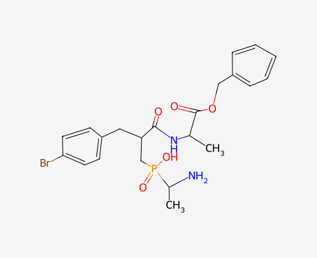 CC(NC(=O)C(Cc1ccc(Br)cc1)CP(=O)(O)C(C)N)C(=O)OCc1ccccc1